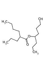 CCCCC(CCC)OC(=O)C(CCC)CCCC